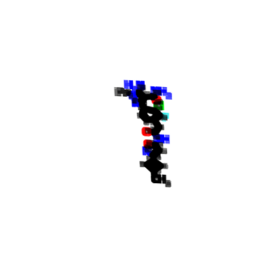 CC(C)n1nc(-c2ccc(CC(=O)Nc3cc(C45CC(C)(C4)C5)no3)c(F)c2Cl)c(C(N)=O)c1N